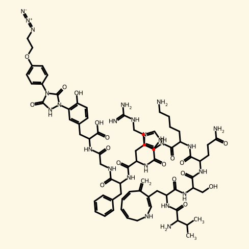 C=C1/C=C\C=C/CN/C=C\1CC(NC(=O)C(N)C(C)C)C(=O)NC(CO)C(=O)NC(CCC(N)=O)C(=O)NC(CCCCN)C(=O)NC(CCCNC(=N)N)C(=O)NC(Cc1c[nH]cn1)C(=O)NC(Cc1ccccc1)C(=O)NCC(=O)NC(Cc1ccc(O)c(-n2[nH]c(=O)n(-c3ccc(OCCN=[N+]=[N-])cc3)c2=O)c1)C(=O)O